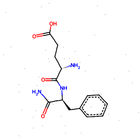 NC(=O)[C@H](Cc1ccccc1)NC(=O)[C@@H](N)CCC(=O)O